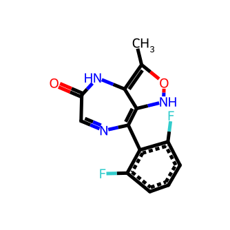 CC1=C2NC(=O)C=NC(c3c(F)cccc3F)=C2NO1